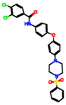 O=C(Nc1ccc(Oc2ccc(N3CCN(S(=O)(=O)c4ccccc4)CC3)cc2)cc1)c1ccc(Cl)c(Cl)c1